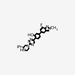 CC(C)[C@H]1CN(c2ncc(-c3ccc(-c4cc(F)c5nn(C)cc5c4)cc3O)nn2)CCN1